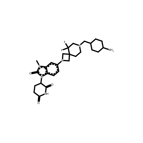 Cn1c(=O)n(C2CCC(=O)NC2=O)c2ccc(N3CC4(CCN(CC5CCC(N)CC5)CC4(F)F)C3)cc21